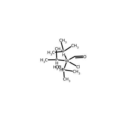 C[PH](C)(C)[W]([Cl])([CH]=O)([PH](C)(C)C)[PH](C)(C)C